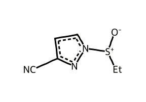 CC[S+]([O-])n1ccc(C#N)n1